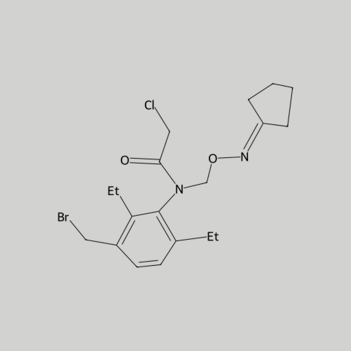 CCc1ccc(CBr)c(CC)c1N(CON=C1CCCC1)C(=O)CCl